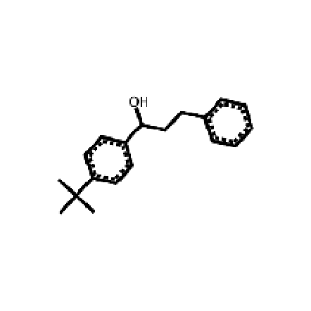 CC(C)(C)c1ccc(C(O)CCc2ccccc2)cc1